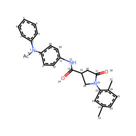 CC(=O)N(c1ccccc1)c1ccc(NC(=O)C2CC(=O)N(c3cc(C)ccc3C)C2)cc1